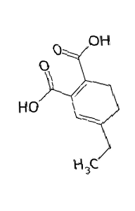 CCC1=CC(C(=O)O)=C(C(=O)O)CC1